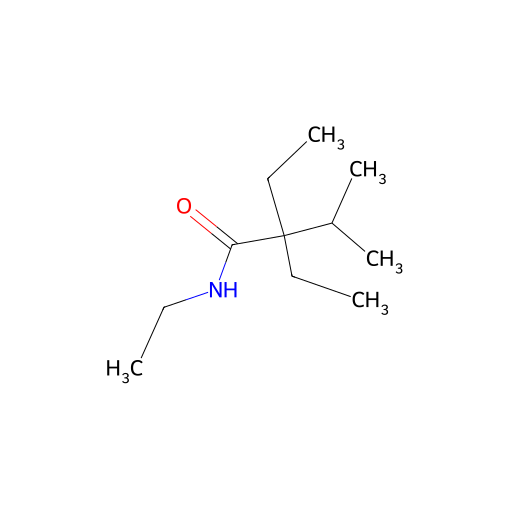 CCNC(=O)C(CC)(CC)C(C)C